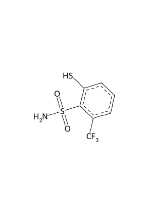 NS(=O)(=O)c1c(S)cccc1C(F)(F)F